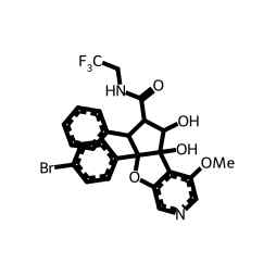 COc1cncc2c1C1(O)C(O)C(C(=O)NCC(F)(F)F)C(c3ccccc3)C1(c1ccc(Br)cc1)O2